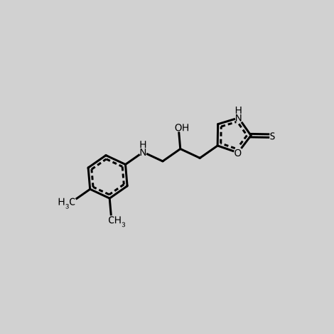 Cc1ccc(NCC(O)Cc2c[nH]c(=S)o2)cc1C